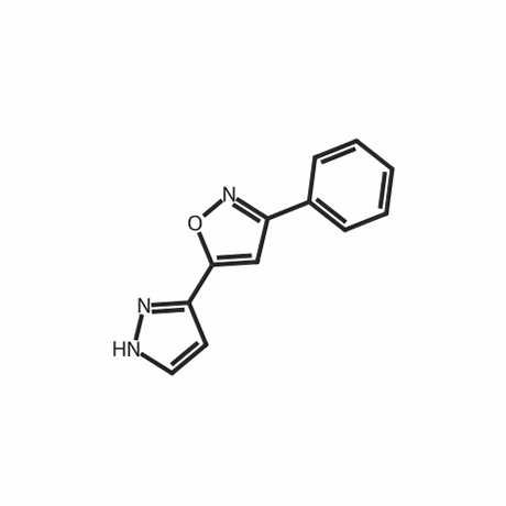 c1ccc(-c2cc(-c3cc[nH]n3)on2)cc1